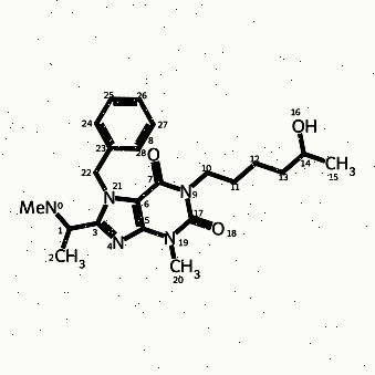 CNC(C)c1nc2c(c(=O)n(CCCCC(C)O)c(=O)n2C)n1Cc1ccccc1